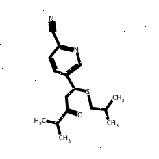 CC(C)CSC(CC(=O)C(C)C)c1ccc(C#N)nc1